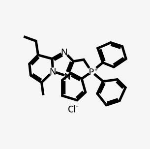 CCc1ccc(C)n2nc(C[P+](c3ccccc3)(c3ccccc3)c3ccccc3)nc12.[Cl-]